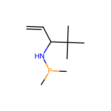 C=CC(NP(C)C)C(C)(C)C